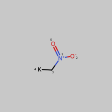 O=[N+]([O-])[CH2][K]